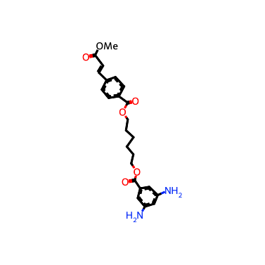 COC(=O)/C=C/c1ccc(C(=O)OCCCCCCOC(=O)c2cc(N)cc(N)c2)cc1